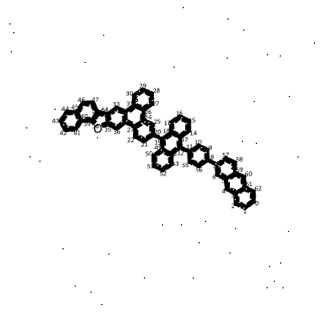 c1ccc2cc3cc(-c4ccc(-c5c6ccccc6c(-c6ccc7c(c6)c6ccccc6c6cc8c(cc76)oc6c7ccccc7ccc86)c6ccccc56)cc4)ccc3cc2c1